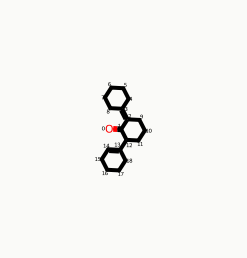 O=C1C(=C2CCCCC2)CCCC1C1=CCCCC1